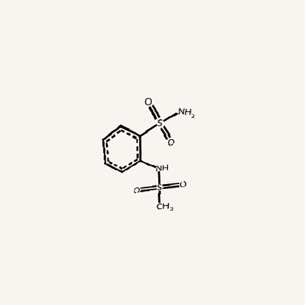 CS(=O)(=O)Nc1ccccc1S(N)(=O)=O